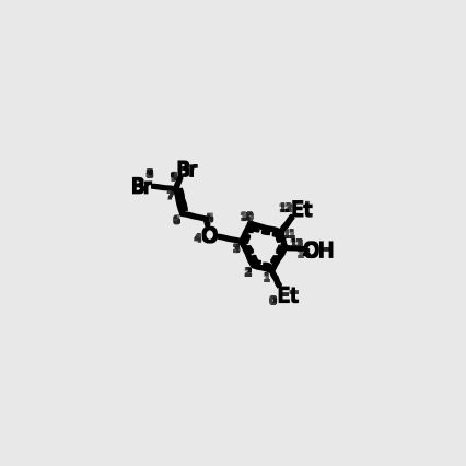 CCc1cc(OCC=C(Br)Br)cc(CC)c1O